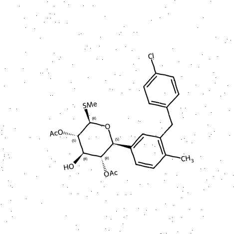 CS[C@H]1O[C@@H](c2ccc(C)c(Cc3ccc(Cl)cc3)c2)[C@H](OC(C)=O)[C@@H](O)[C@@H]1OC(C)=O